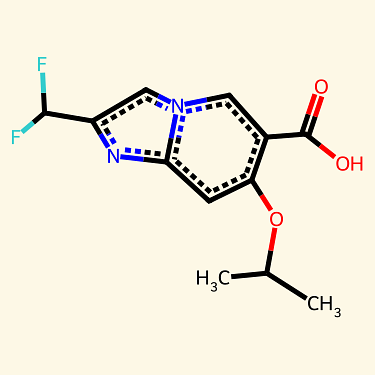 CC(C)Oc1cc2nc(C(F)F)cn2cc1C(=O)O